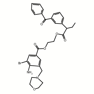 CCC(C(=O)OCCOC(=O)c1cc(Br)c(N)c(CN2CCOCC2)c1)c1cccc(C(=O)c2ccccc2)c1